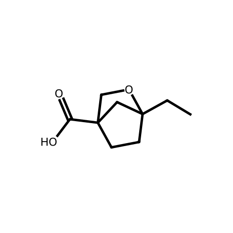 CCC12CCC(C(=O)O)(CO1)C2